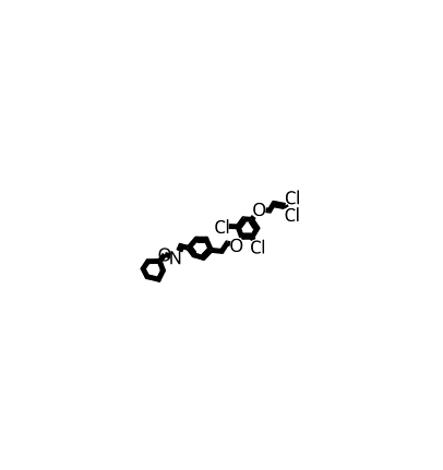 ClC(Cl)=CCOc1cc(Cl)c(OCCc2ccc(/C=N/OC3CCCCC3)cc2)c(Cl)c1